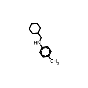 Cc1ccc(NCC2CCCCC2)cc1